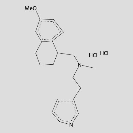 COc1ccc2c(c1)CCCC2CN(C)CCc1cccnc1.Cl.Cl